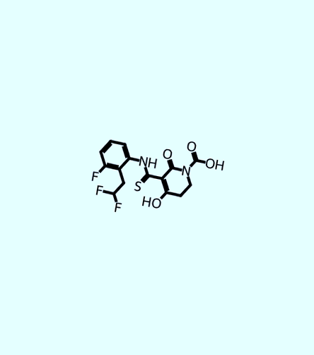 O=C(O)N1CCC(O)=C(C(=S)Nc2cccc(F)c2CC(F)F)C1=O